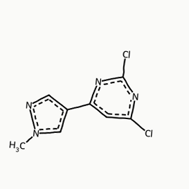 Cn1cc(-c2cc(Cl)nc(Cl)n2)cn1